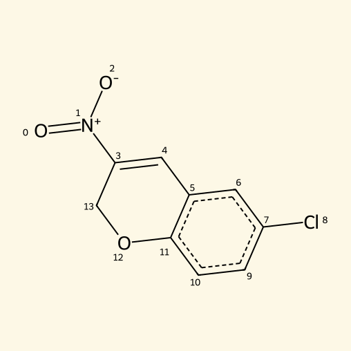 O=[N+]([O-])C1=Cc2cc(Cl)ccc2OC1